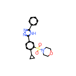 O=S(=O)(c1cc(-c2nnc(-c3ccccc3)[nH]2)ccc1C1CC1)N1CCOCC1